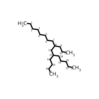 CCCCCCCCC(CCC)CC(CCCC)CCCCC